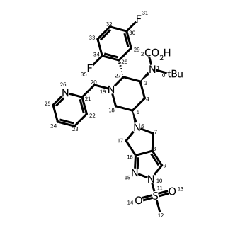 CC(C)(C)N(C(=O)O)[C@H]1C[C@@H](N2Cc3cn(S(C)(=O)=O)nc3C2)CN(Cc2ccccn2)[C@@H]1c1cc(F)ccc1F